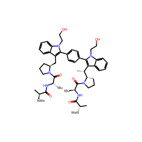 CN[C@@H](C)C(=O)N[C@H](C(=O)N1CCC[C@H]1Cc1c(-c2ccc(-c3c([C@@H](C)[C@@H]4CCCN4C(=O)[C@@H](NC(=O)[C@H](C)NC)C(C)(C)C)c4ccccc4n3CCO)cc2)n(CCO)c2ccccc12)C(C)(C)C